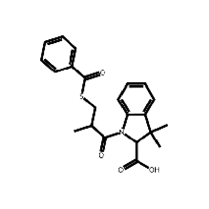 CC(CSC(=O)c1ccccc1)C(=O)N1c2ccccc2C(C)(C)C1C(=O)O